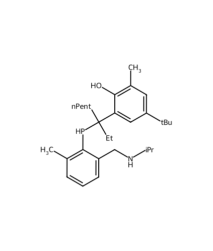 CCCCCC(CC)(Pc1c(C)cccc1CNC(C)C)c1cc(C(C)(C)C)cc(C)c1O